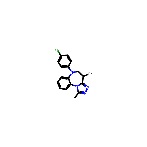 CCC1CN(c2ccc(Cl)cc2)c2ccccc2-n2c(C)nnc21